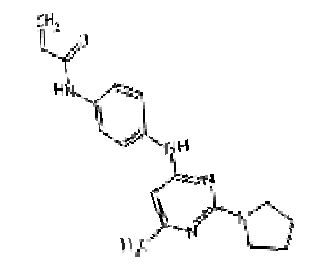 C=CC(=O)Nc1ccc(Nc2cc(C)nc(N3CCCC3)n2)cc1